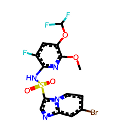 COc1nc(NS(=O)(=O)c2cnc3cc(Br)ccn23)c(F)cc1OC(F)F